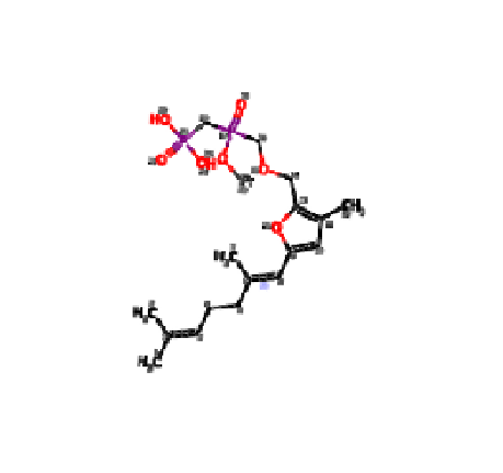 CC(C)=CCC/C(C)=C/c1cc(C)c(COCP(=O)(CP(=O)(O)O)OC(C)C)o1